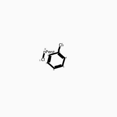 CCCCCCl.Clc1ccccc1